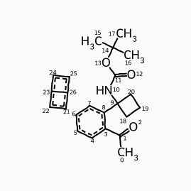 CC(=O)c1ccccc1C1(NC(=O)OC(C)(C)C)CCC1.c1cc2ccc1-2